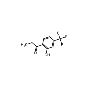 CCC(=O)c1ccc(C(F)(F)F)cc1O